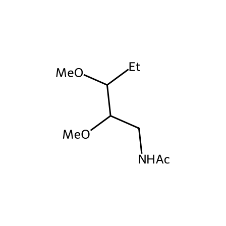 CCC(OC)C(CNC(C)=O)OC